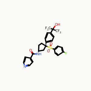 O=C(N[C@@H]1CC[C@](c2ccc(C(O)(C(F)(F)F)C(F)(F)F)cc2)(S(=O)(=O)c2ccc(F)cc2)C1)c1ccncc1